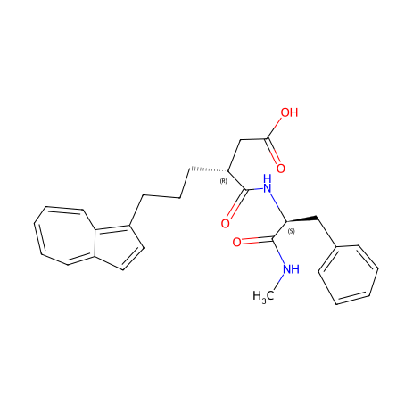 CNC(=O)[C@H](Cc1ccccc1)NC(=O)[C@H](CCCc1ccc2cccccc1-2)CC(=O)O